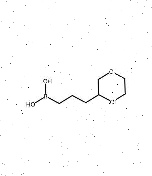 OB(O)CCCC1COCCO1